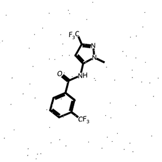 Cn1nc(C(F)(F)F)cc1NC(=O)c1cccc(C(F)(F)F)c1